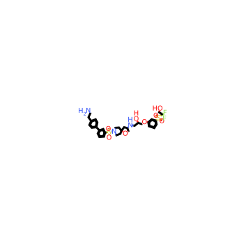 NCCc1ccc(-c2cccc(S(=O)(=O)N3CCC4(CC3)CC(NCC(O)COc3cccc(S(=O)(=O)C(F)(F)CO)c3)CO4)c2)cc1